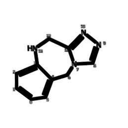 c1ccc2c(c1)Cn1cnnc1CN2